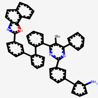 CC(C)(C)c1c(-c2ccccc2)nc(-c2cccc(-c3cccc(N)c3)c2)nc1-c1ccccc1-c1ccccc1-c1cccc(-c2nc3ccc4ccccc4c3o2)c1